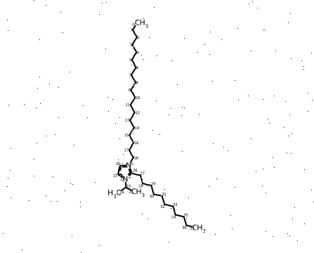 CCCCCCCCCCCCCCCCCCCn1cc[n+](C(C)C)c1CCCCCCCCCCC